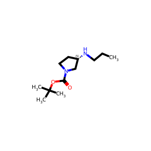 CCCN[C@H]1CCN(C(=O)OC(C)(C)C)C1